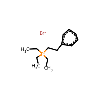 CC[P+](CC)(CC)CCc1ccccc1.[Br-]